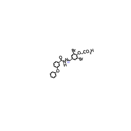 O=C(O)COc1c(Br)cc(/C=N/NC(=O)c2cccc(Oc3ccccc3)c2)cc1Br